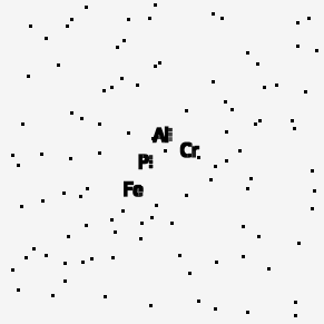 [Al].[Cr].[Fe].[P]